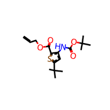 C=CCOC(=O)c1sc(C(C)(C)C)cc1NC(=O)OC(C)(C)C